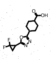 O=C(O)C1CCC(c2nnc(C3CC3(F)F)o2)CC1